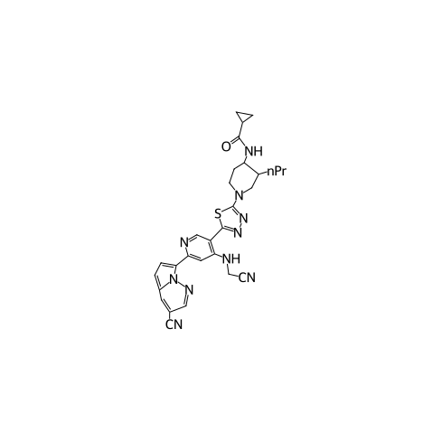 CCCC1CN(c2nnc(-c3cnc(-c4ccc5cc(C#N)cnn45)cc3NCC#N)s2)CCC1NC(=O)C1CC1